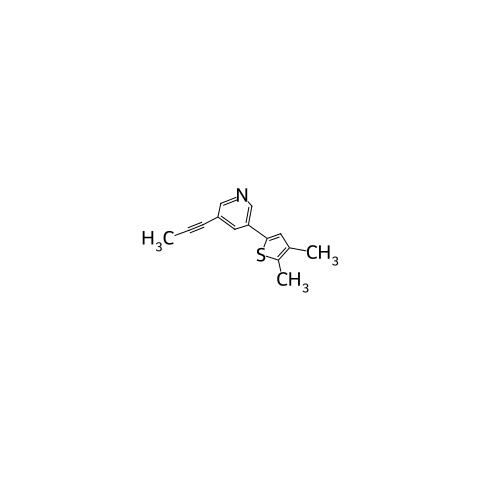 CC#Cc1cncc(-c2cc(C)c(C)s2)c1